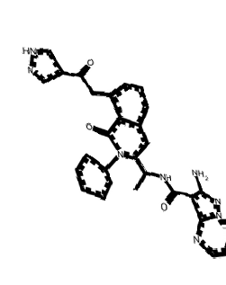 CC(NC(=O)c1c(N)nn2cccnc12)c1cc2cccc(CC(=O)c3cn[nH]c3)c2c(=O)n1-c1ccccc1